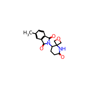 Cc1ccc2c(c1)C(=O)N(C1CCC(=O)NC13COC3)C2=O